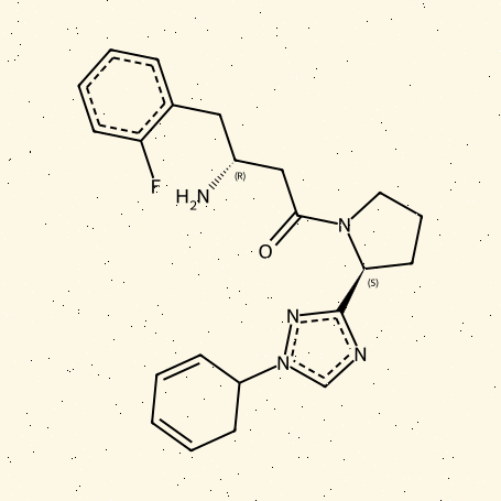 N[C@@H](CC(=O)N1CCC[C@H]1c1ncn(C2C=CC=CC2)n1)Cc1ccccc1F